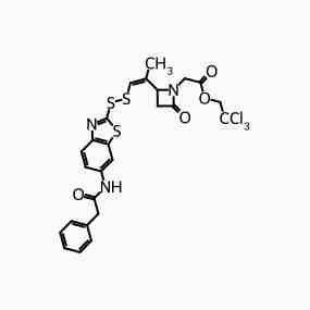 CC(=CSSc1nc2ccc(NC(=O)Cc3ccccc3)cc2s1)C1CC(=O)N1CC(=O)OCC(Cl)(Cl)Cl